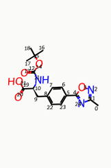 Cc1noc(-c2ccc(C[C@H](NC(=O)OC(C)(C)C)C(=O)O)cc2)n1